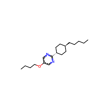 CCCCC[C@H]1CC[C@H](c2ncc(OCCCC)cn2)CC1